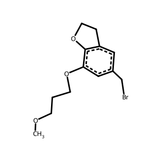 COCCCOc1cc(CBr)cc2c1OCC2